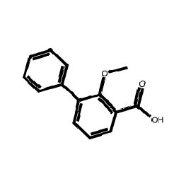 COc1c(C(=O)O)cccc1-c1ccccc1